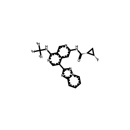 [2H]C([2H])([2H])Nc1ncc(-c2nc3ccccn3n2)c2cc(NC(=O)[C@@H]3C[C@@H]3F)ncc12